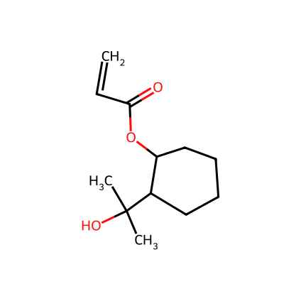 C=CC(=O)OC1CCCCC1C(C)(C)O